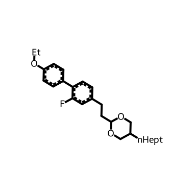 CCCCCCCC1COC(CCc2ccc(-c3ccc(OCC)cc3)c(F)c2)OC1